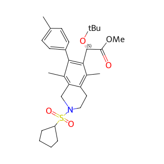 COC(=O)[C@@H](OC(C)(C)C)c1c(C)c2c(c(C)c1-c1ccc(C)cc1)CN(S(=O)(=O)C1CCCC1)CC2